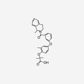 Cc1cc(Oc2cccc(C(=O)N3CCc4ccccc4C3C)c2)ccc1OC(C)(C)C(=O)O